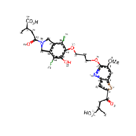 COc1cc2sc(C(=O)CC(C)C(=O)O)cc2nc1OCCCOc1c(O)c(F)c2c(c1F)CN(C(=O)CC(C)C(=O)O)C2